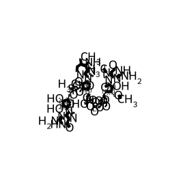 CCC1=C(N)c2ncn([C@@H]3O[C@H](COP(=O)(O)OP(=O)(O)OP(=O)(O)OC[C@H]4O[C@@H](n5c[n+](C)c6c(=O)[nH]c(N)nc65)[C@H](O)[C@@H]4COC)[C@@H](OP([O-])(=S)OC[C@H]4O[C@@H](n5cnc6c(=O)[nH]c(N)nc65)[C@H](O)[C@@H]4O)[C@H]3OC)c2N=CC1